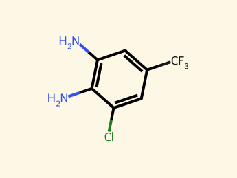 Nc1cc(C(F)(F)F)cc(Cl)c1N